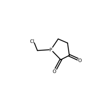 O=C1CCP(CCl)C1=O